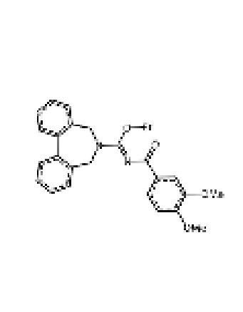 CCOC(=NC(=O)c1ccc(OC)c(OC)c1)N1Cc2ccccc2-c2ccccc2C1